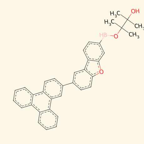 CC(C)(O)C(C)(C)OBc1ccc2c(c1)oc1ccc(-c3ccc4c5ccccc5c5ccccc5c4c3)cc12